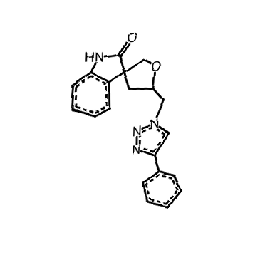 O=C1Nc2ccccc2C12COC(Cn1cc(-c3ccccc3)nn1)C2